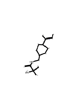 C=C(NCC1CCC(/C(C)=C/C)CC1)C(C)(C)C(C)(C)C